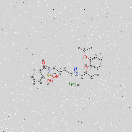 CC(C)Oc1cccc2c1OC(CNCCCCN1C(=O)c3ccccc3S1(O)O)CC2.Cl